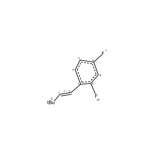 CC(C)(C)/C=C/c1ccc(F)cc1F